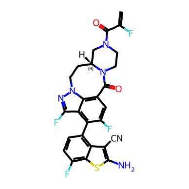 C=C(F)C(=O)N1CCN2C(=O)c3cc(F)c(-c4ccc(F)c5sc(N)c(C#N)c45)c4c(F)nn(c34)CC[C@@H]2C1